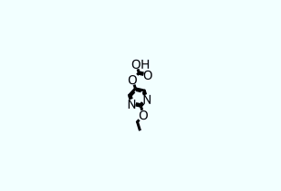 CCOc1ncc(OC(=O)O)cn1